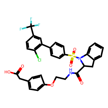 O=C(O)Cc1ccc(OCCNC(=O)C2Cc3ccccc3N2S(=O)(=O)c2ccc(-c3cc(C(F)(F)F)ccc3Cl)cc2)cc1